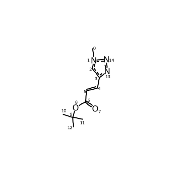 Cn1cc(C=CC(=O)OC(C)(C)C)nn1